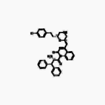 COC(=O)N(C(=O)[C@@H](N)C(c1ccccc1)c1ccccc1)c1ccccc1CC[C@@H]1CNC[C@@H](CCc2ccc(Cl)cc2)O1